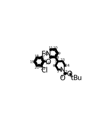 CC(C)(C)OC(=O)N1CCC(c2cccnc2Oc2c(F)cccc2Cl)CC1